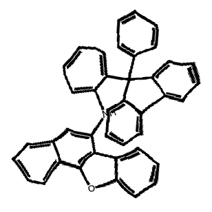 c1ccc(C2(c3ccccc3Nc3cc4ccccc4c4oc5ccccc5c34)c3ccccc3-c3ccccc32)cc1